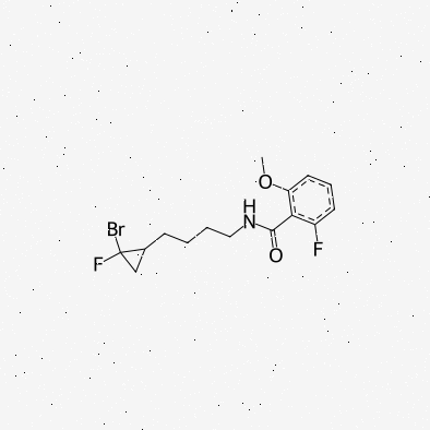 COc1cccc(F)c1C(=O)NCCCCC1CC1(F)Br